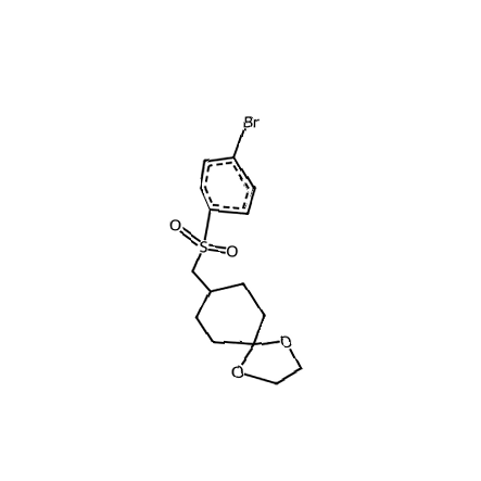 O=S(=O)(CC1CCC2(CC1)OCCO2)c1ccc(Br)cc1